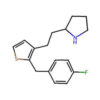 Fc1ccc(Cc2sccc2CCC2CCCN2)cc1